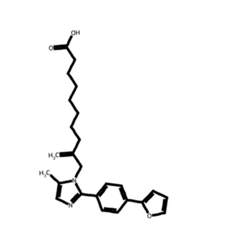 C=C(CCCCCCCC(=O)O)Cn1c(C)cnc1-c1ccc(-c2ccco2)cc1